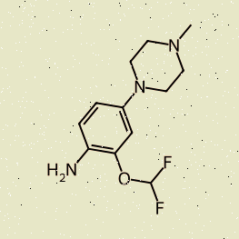 CN1CCN(c2ccc(N)c(OC(F)F)c2)CC1